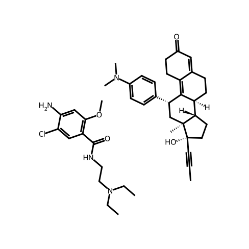 CC#C[C@]1(O)CC[C@H]2[C@@H]3CCC4=CC(=O)CCC4=C3[C@@H](c3ccc(N(C)C)cc3)C[C@@]21C.CCN(CC)CCNC(=O)c1cc(Cl)c(N)cc1OC